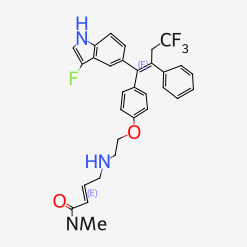 CNC(=O)/C=C/CNCCOc1ccc(/C(=C(/CC(F)(F)F)c2ccccc2)c2ccc3[nH]cc(F)c3c2)cc1